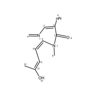 C=N/C=C(/CCC)C(=O)N(C)/C=C\C=C(/C)O